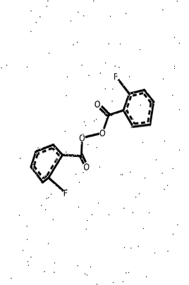 O=C(OOC(=O)c1ccccc1F)c1ccccc1F